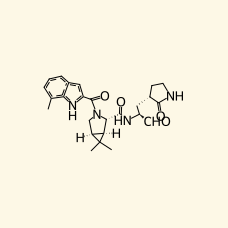 Cc1cccc2cc(C(=O)N3C[C@H]4[C@@H]([C@H]3C(=O)N[C@H](C=O)C[C@@H]3CCNC3=O)C4(C)C)[nH]c12